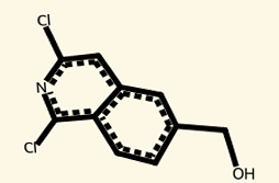 OCc1ccc2c(Cl)nc(Cl)cc2c1